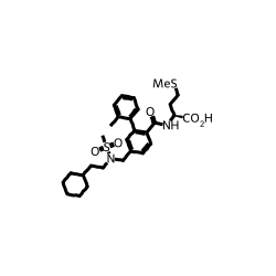 CSCC[C@H](NC(=O)c1ccc(CN(CCC2CCCCC2)S(C)(=O)=O)cc1-c1ccccc1C)C(=O)O